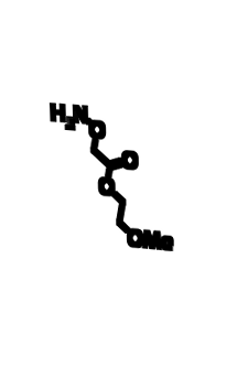 COCCOC(=O)CON